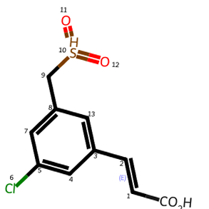 O=C(O)/C=C/c1cc(Cl)cc(C[SH](=O)=O)c1